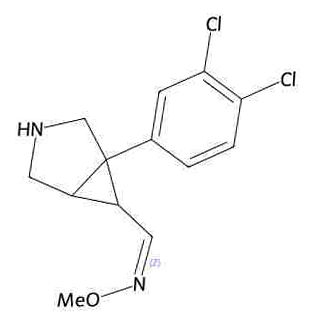 CO/N=C\C1C2CNCC12c1ccc(Cl)c(Cl)c1